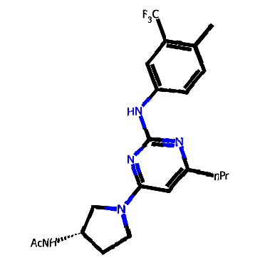 CCCc1cc(N2CC[C@H](NC(C)=O)C2)nc(Nc2ccc(C)c(C(F)(F)F)c2)n1